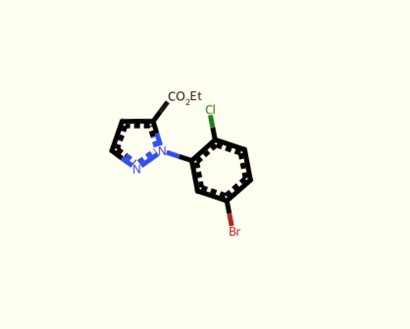 CCOC(=O)c1ccnn1-c1cc(Br)ccc1Cl